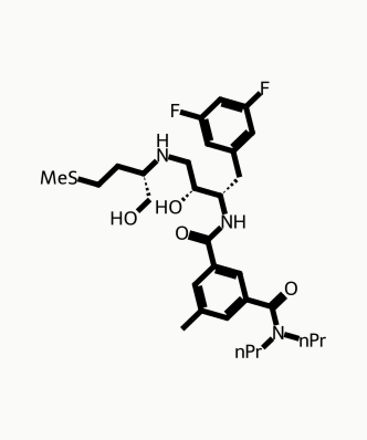 CCCN(CCC)C(=O)c1cc(C)cc(C(=O)N[C@@H](Cc2cc(F)cc(F)c2)[C@H](O)CN[C@H](CO)CCSC)c1